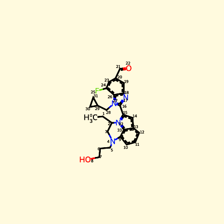 CCC1CN(CCCO)c2cccc3cc(-c4nc5cc(C=O)cc(F)c5n4CC4CC4)n1c23